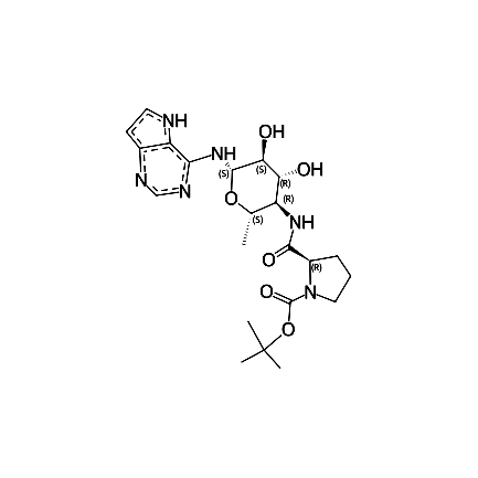 C[C@@H]1O[C@H](Nc2ncnc3cc[nH]c23)[C@@H](O)[C@H](O)[C@H]1NC(=O)[C@H]1CCCN1C(=O)OC(C)(C)C